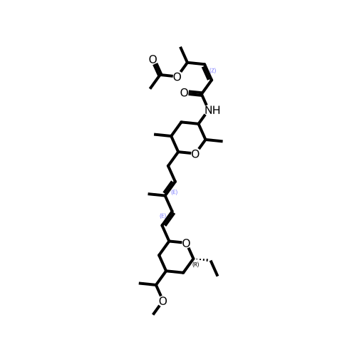 CC[C@@H]1CC(C(C)OC)CC(/C=C/C(C)=C/CC2OC(C)C(NC(=O)/C=C\C(C)OC(C)=O)CC2C)O1